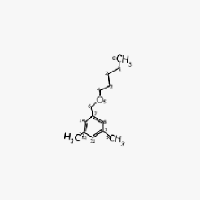 CCCCCOCc1cc(C)cc(C)c1